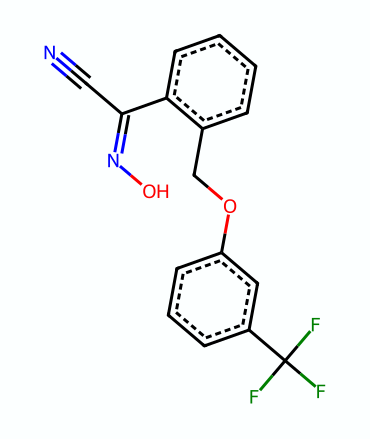 N#C/C(=N/O)c1ccccc1COc1cccc(C(F)(F)F)c1